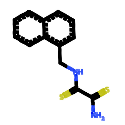 NC(=S)C(=S)NCc1cccc2ccccc12